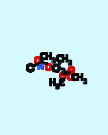 CCO[C@@H](Cc1ccc(OCc2nc(-c3ccccc3)oc2C)cc1CC)C(=O)OC